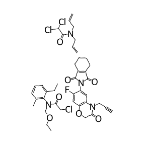 C#CCN1C(=O)COc2cc(F)c(N3C(=O)C4=C(CCCC4)C3=O)cc21.C=CCN(CC=C)C(=O)C(Cl)Cl.CCOCN(C(=O)CCl)c1c(C)cccc1CC